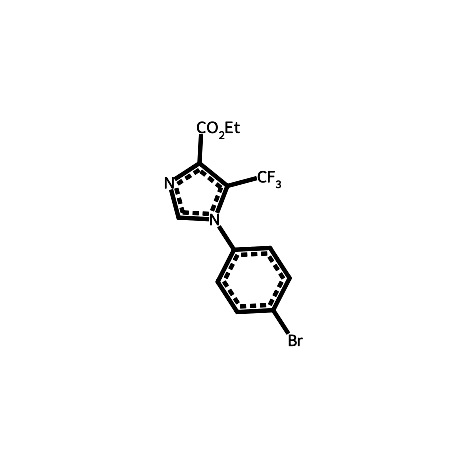 CCOC(=O)c1ncn(-c2ccc(Br)cc2)c1C(F)(F)F